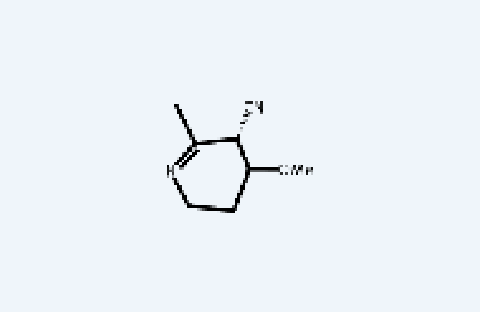 COC1CCN=C(C)[C@@H]1C#N